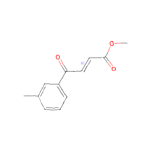 COC(=O)/C=C/C(=O)c1cccc(C)c1